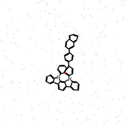 c1ccc(-n2c3ccccc3c3ccc4c5ccccc5n(-c5ccc(-c6ccc(-c7ccc8ccccc8c7)cc6)cc5)c4c32)cc1